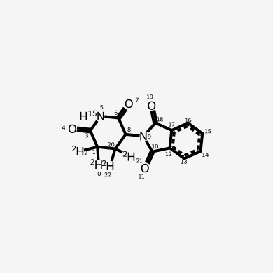 [2H]C1([2H])C(=O)[15NH]C(=O)C(N2C(=O)c3ccccc3C2=O)C1([2H])[2H]